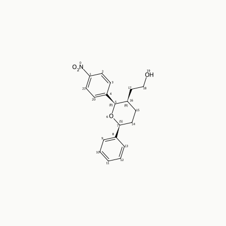 O=[N+]([O-])c1ccc([C@@H]2O[C@H](c3ccccc3)CC[C@@H]2CCO)cc1